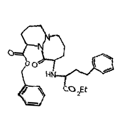 CCOC(=O)C(CCc1ccccc1)NC1CCCN2CCCC(C(=O)OCc3ccccc3)N2C1=O